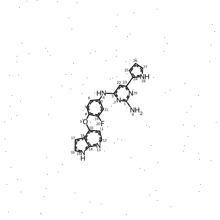 Nc1nc(Nc2ccc(Oc3ccnc4[nH]ccc34)c(F)c2)cc(-c2ccc[nH]2)n1